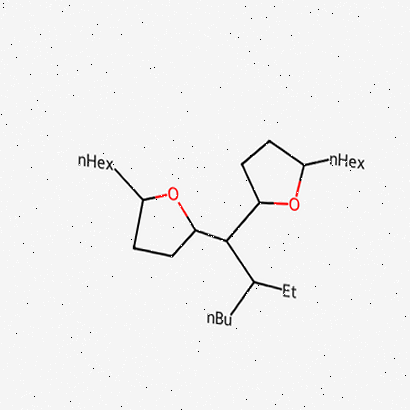 CCCCCCC1CCC(C(C(CC)CCCC)C2CCC(CCCCCC)O2)O1